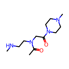 CNCCN(CC(=O)N1CCN(C)CC1)C(C)=O